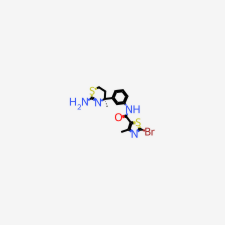 Cc1nc(Br)sc1C(=O)Nc1cccc([C@]2(C)CCSC(N)=N2)c1